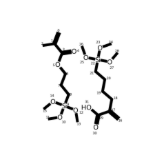 C=C(C)C(=O)OCCC[Si](OC)(OC)OC.C=C(CCCC[Si](OC)(OC)OC)C(=O)O